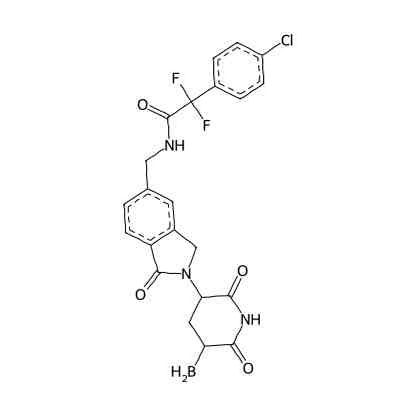 BC1CC(N2Cc3cc(CNC(=O)C(F)(F)c4ccc(Cl)cc4)ccc3C2=O)C(=O)NC1=O